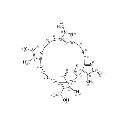 Cc1cc2cc(c1C)OCCCc1c(C(=O)O)n(C)c3c(c(Cl)ccc13)-c1c(nn(C)c1C)CSCc1cc(n(C)n1)CS2